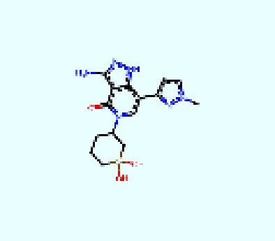 Cn1ccc(-c2cn(C3CCCS(O)(O)C3)c(=O)c3c(N)n[nH]c23)n1